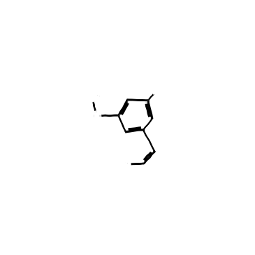 CCc1cc(/C=C\C(C)C)cc(OC(C)C)c1